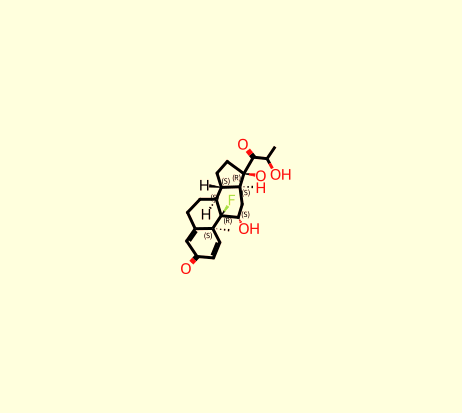 CC(O)C(=O)[C@@]1(O)CC[C@H]2[C@@H]3CCC4=CC(=O)C=C[C@]4(C)[C@@]3(F)[C@@H](O)C[C@@]21C